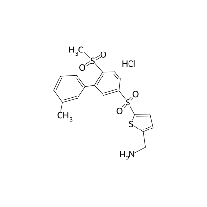 Cc1cccc(-c2cc(S(=O)(=O)c3ccc(CN)s3)ccc2S(C)(=O)=O)c1.Cl